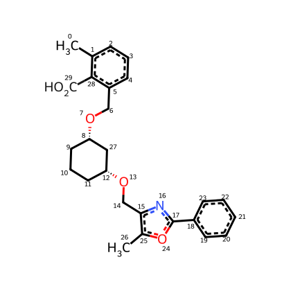 Cc1cccc(CO[C@H]2CCC[C@@H](OCc3nc(-c4ccccc4)oc3C)C2)c1C(=O)O